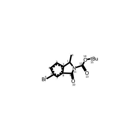 CC1c2ccc(Br)cc2C(=O)N1C(=O)OC(C)(C)C